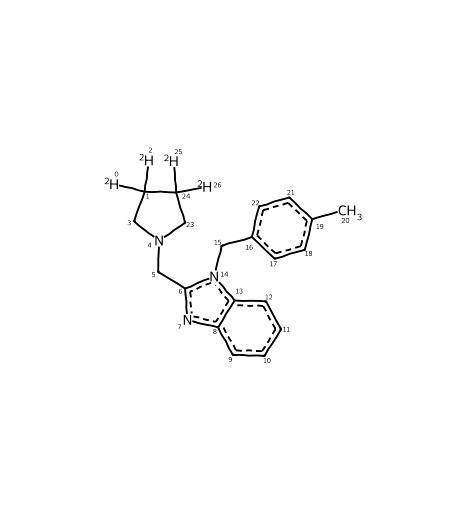 [2H]C1([2H])CN(Cc2nc3ccccc3n2Cc2ccc(C)cc2)CC1([2H])[2H]